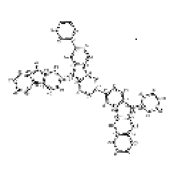 c1ccc(-c2ccc3c4cc(-c5ccc6c(c5)c5cc7ccccc7cc5n6-c5ccccc5)ccc4n(-c4ccc5c(c4)sc4ccccc45)c3c2)cc1